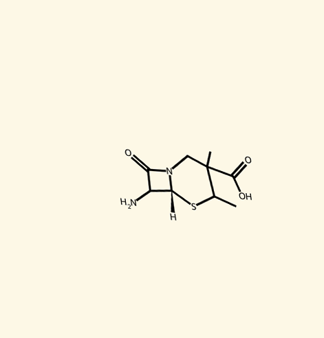 CC1S[C@@H]2C(N)C(=O)N2CC1(C)C(=O)O